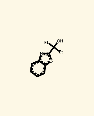 CCC(O)(CC)c1nc2ccccc2s1